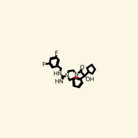 N=C(NCc1cc(F)cc(F)c1)N1CCN(C(=O)[C@](O)(c2ccccc2)C2CCCC2)CC1